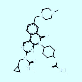 CN1CCN(Cc2ccc3c(c2)c(=O)n(C2CCC(OC(N)=O)CC2)c2nc(N(CC4CC4)C(N)=O)ncc32)CC1